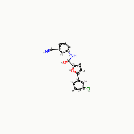 N#Cc1cccc(NC(=O)c2ccc(-c3cccc(Cl)c3)o2)c1